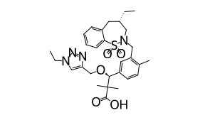 CC[C@H]1Cc2ccccc2S(=O)(=O)N(Cc2cc([C@H](OCc3cn(CC)nn3)C(C)(C)C(=O)O)ccc2C)C1